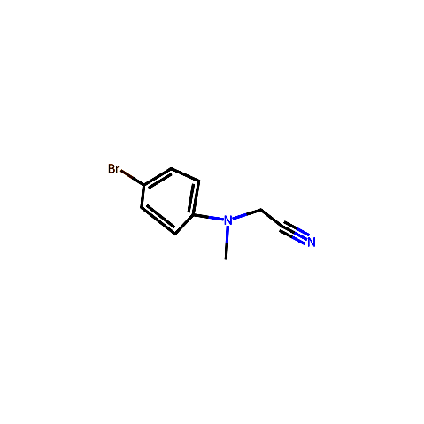 CN(CC#N)c1ccc(Br)cc1